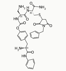 NC[C@H](NC(=O)Oc1ccc(C[C@H](N)C(=O)Nc2ccccc2)cc1)C(=O)N[C@@H](CSC1CC(=O)N(Cc2ccccc2)C1=O)C(N)=O